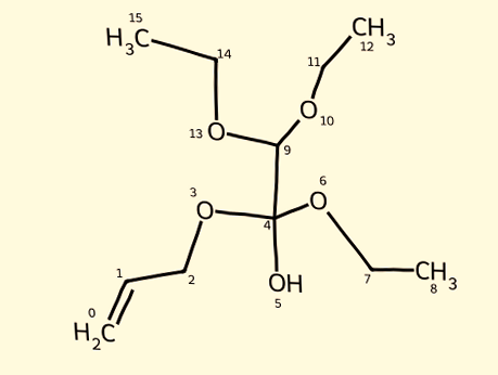 C=CCOC(O)(OCC)C(OCC)OCC